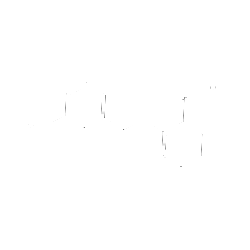 COC(=O)c1cccnc1SCc1cccc(OC)c1